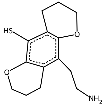 NCCc1c2c(c(S)c3c1OCCC3)OCCC2